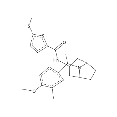 COc1ccc(C(C)N2C3CCC2CC(NC(=O)c2ccc(SC)s2)C3)cc1C